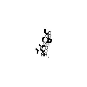 C=CC(=O)N1CCN(C(=O)N(C)[C@H](C(N)=O)C(C)C)[C@@H]2CC[C@@H]21